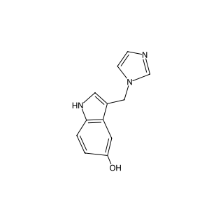 Oc1ccc2[nH]cc(Cn3ccnc3)c2c1